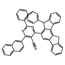 N#Cc1c(-c2ccc3ccccc3c2)nc(-c2ccccc2)nc1-c1cc2c3ccccc3sc2c2c3ccccc3n(-c3ccccc3)c12